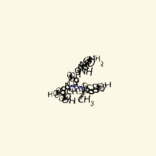 CCCC[N+]1=C(/C=C/C(=C/C=C2/N(CCCS(=O)(=O)O)c3ccc4c(S(=O)(=O)O)cc(S(=O)(=O)O)cc4c3C2(C)C)c2ccc(CCC(=O)Nc3nnc(S(N)(=O)=O)s3)cc2)C(C)(C)c2c1ccc1ccc(S(=O)(=O)O)cc21